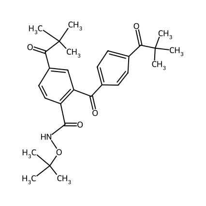 CC(C)(C)ONC(=O)c1ccc(C(=O)C(C)(C)C)cc1C(=O)c1ccc(C(=O)C(C)(C)C)cc1